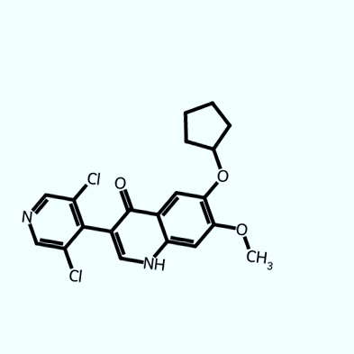 COc1cc2[nH]cc(-c3c(Cl)cncc3Cl)c(=O)c2cc1OC1CCCC1